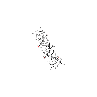 CC(=O)O[Si](O[Si](O[Si](O[Si](O[Si](O[Si](C(C)(C)C)(C(C)(C)C)C(C)(C)C)(C(C)(C)C)C(C)(C)C)(C(C)(C)C)C(C)(C)C)(C(C)(C)C)C(C)(C)C)(C(C)(C)C)C(C)(C)C)(C(C)(C)C)C(C)(C)C